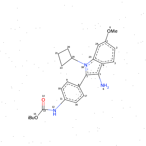 COc1ccc2c(N)c(-c3ccc(NC(=O)OCC(C)C)cc3)n(C3CCC3)c2c1